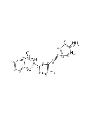 Cc1ccc(C(=O)N[C@H](C)c2ccccc2)cc1C#Cc1cnc(N)nc1